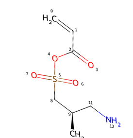 C=CC(=O)OS(=O)(=O)C[C@H](C)CN